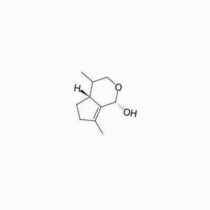 CC1=C2[C@@H](O)OCC(C)[C@H]2CC1